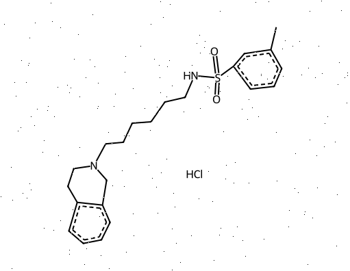 Cc1cccc(S(=O)(=O)NCCCCCCN2CCc3ccccc3C2)c1.Cl